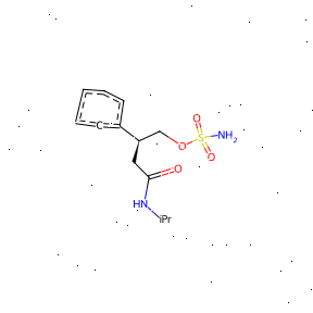 CC(C)NC(=O)C[C@H](COS(N)(=O)=O)c1ccccc1